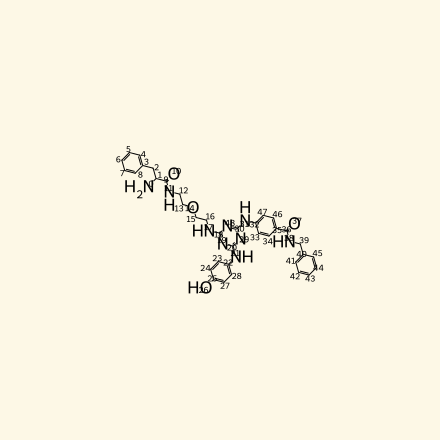 NC(Cc1ccccc1)C(=O)NCCOCCNc1nc(Nc2ccc(O)cc2)nc(Nc2ccc(C(=O)NCc3ccccc3)cc2)n1